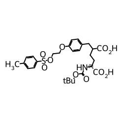 Cc1ccc(S(=O)(=O)OCCOc2ccc(CC(CC[C@@H](NC(=O)OC(C)(C)C)C(=O)O)C(=O)O)cc2)cc1